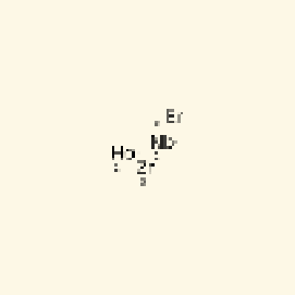 [Er].[Ho].[Nb].[Zr]